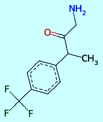 CC(C(=O)CN)c1ccc(C(F)(F)F)cc1